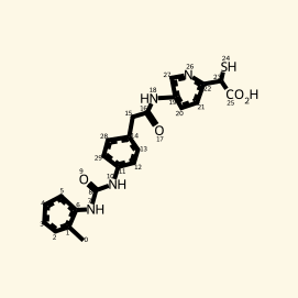 Cc1ccccc1NC(=O)Nc1ccc(CC(=O)Nc2ccc(C(S)C(=O)O)nc2)cc1